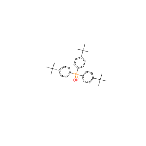 CC(C)(C)c1ccc([PH](O)(c2ccc(C(C)(C)C)cc2)c2ccc(C(C)(C)C)cc2)cc1